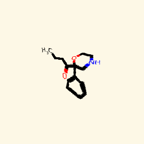 CCCC(=O)C1(c2ccccc2)CNCCO1